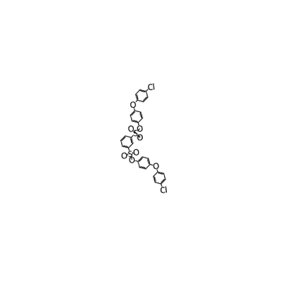 O=S(=O)(Oc1ccc(Oc2ccc(Cl)cc2)cc1)c1cccc(S(=O)(=O)Oc2ccc(Oc3ccc(Cl)cc3)cc2)c1